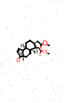 COC(=O)C[C@@H]1CC[C@@H]2[C@H](CC[C@]3(C)C(=O)C=C[C@@H]23)[C@@]1(C)CC(=O)OC